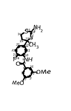 COc1cc(OC)cc(C(=O)Nc2cc(C3(C)CCSC(N)=N3)ccc2F)c1